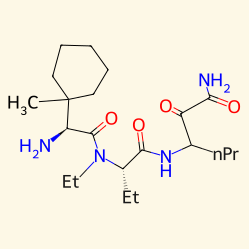 CCCC(NC(=O)[C@H](CC)N(CC)C(=O)[C@@H](N)C1(C)CCCCC1)C(=O)C(N)=O